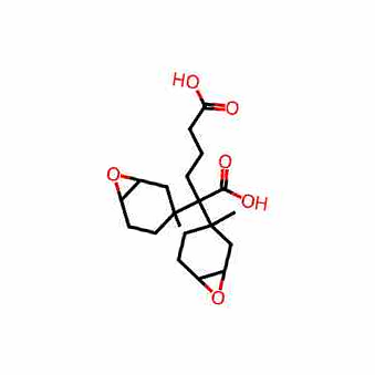 CC1(C(CCCC(=O)O)(C(=O)O)C2(C)CCC3OC3C2)CCC2OC2C1